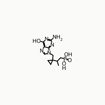 CC(CP(=O)(O)O)C1(Cn2cnc3c(O)nc(N)nc32)CC1